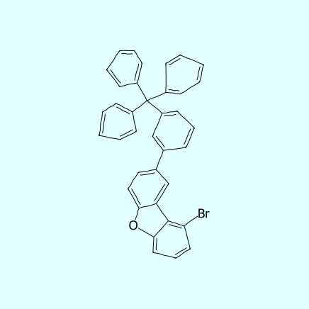 Brc1cccc2oc3ccc(-c4cccc(C(c5ccccc5)(c5ccccc5)c5ccccc5)c4)cc3c12